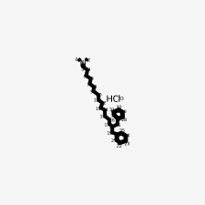 CN(C)CCCCCCCCCCCCCCCC(Cc1ccccc1)Cc1ccccc1.Cl